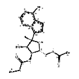 CC(C)CC(=O)O[C@H]1[C@@H](O)[C@](C)(c2ccc3c(N)ncnn23)O[C@@H]1COC(=O)C(C)C